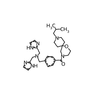 CC(C)CN1CCC2(CC1)CN(C(=O)c1ccc(CN(Cc3ncc[nH]3)Cc3ncc[nH]3)cc1)CCO2